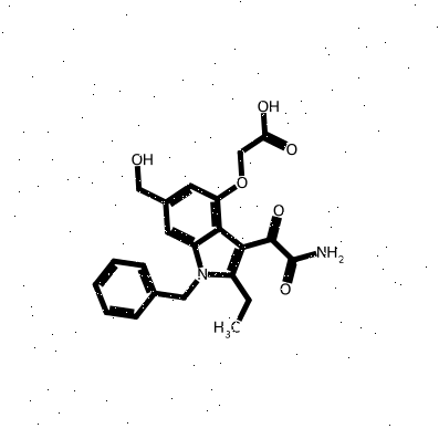 CCc1c(C(=O)C(N)=O)c2c(OCC(=O)O)cc(CO)cc2n1Cc1ccccc1